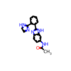 CC(=O)Nc1ccc2nc(-c3ccccc3-c3ncc[nH]3)[nH]c2c1